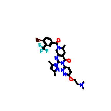 Cc1cc(C)n(-c2nc3c(c(=O)n2-c2ccc(OCCN(C)C)nn2)CC(C)N(C(=O)c2ccc(Br)c(C(F)(F)F)c2)C3)n1